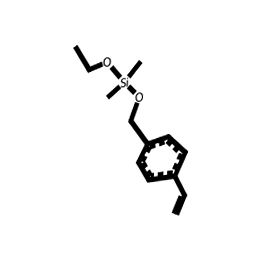 C=Cc1ccc(CO[Si](C)(C)OCC)cc1